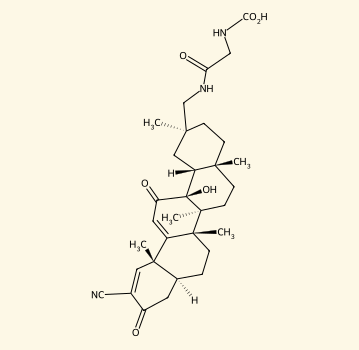 C[C@]1(CNC(=O)CNC(=O)O)CC[C@]2(C)CC[C@@]3(C)[C@]4(C)CC[C@H]5CC(=O)C(C#N)=C[C@]5(C)C4=CC(=O)[C@]3(O)[C@@H]2C1